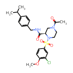 COc1ccc(S(=O)(=O)N2CCN(C(C)=O)C[C@@H]2C(=O)NCc2ccc(C(C)C)cc2)cc1Cl